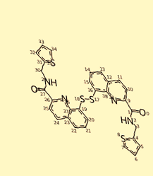 O=C(NCc1cccs1)c1ccc2cccc(SSc3cccc4ccc(C(=O)NCc5cccs5)nc34)c2n1